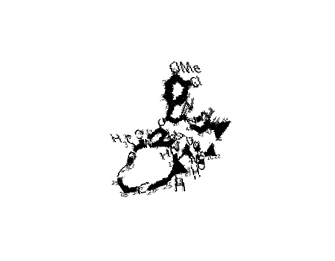 COc1ccc2c(O[C@@H]3C[C@H]4C(=O)N[C@]5(C(=O)NS(=O)(=O)C6CC6)C[C@H]5/C=C\CCCCO[C@H](C)C(=O)N4C3)cc(-n3ccc(C4CC4)n3)nc2c1Cl